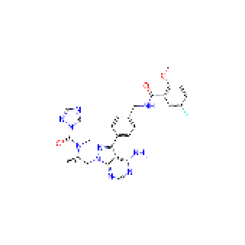 COc1ccc(F)cc1C(=O)NCc1ccc(-c2nn(C[C@@H](C)N(C)C(=O)n3cncn3)c3ncnc(N)c23)cc1